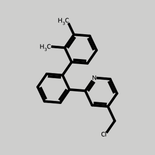 Cc1cccc(-c2ccccc2-c2cc(CCl)ccn2)c1C